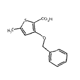 Cc1cc(OCc2ccccc2)c(C(=O)O)s1